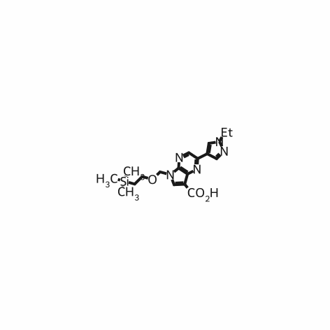 CCn1cc(-c2cnc3c(n2)c(C(=O)O)cn3COCC[Si](C)(C)C)cn1